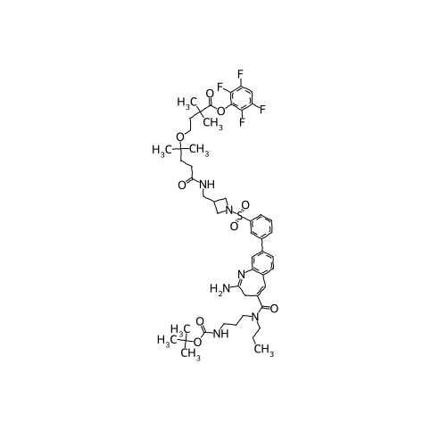 CCCN(CCCNC(=O)OC(C)(C)C)C(=O)C1=Cc2ccc(-c3cccc(S(=O)(=O)N4CC(CNC(=O)CCC(C)(C)OCCC(C)(C)C(=O)Oc5c(F)c(F)cc(F)c5F)C4)c3)cc2N=C(N)C1